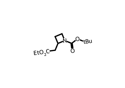 CCOC(=O)CC1CCN1C(=O)OC(C)(C)C